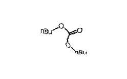 CCCCOC(=O)OCCCC